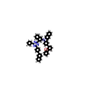 c1ccc(-c2nc(-c3ccc(-c4ccc5ccccc5c4)cc3)nc(-c3cc(-n4c5ccc(-c6cccc7c6oc6ccccc67)cc5c5cc6ccccc6cc54)cc4ccccc34)n2)cc1